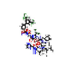 CCC(C)C(NC(=O)C(CC(C)C)NC(=O)c1cnccn1)C(=O)NC(CC1CCCCC1)C(=O)NC(CC(F)F)C(=O)C(=O)NCC(=O)NS(=O)(=O)c1cccc(-c2cc(C(F)(F)F)cc(C(F)(F)F)c2)c1